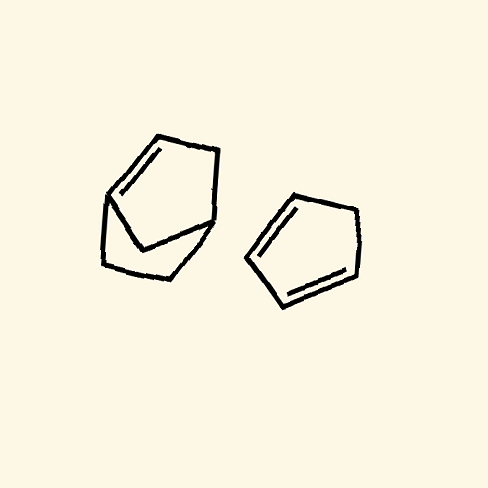 C1=C2CCC(C1)C2.C1=CCC=C1